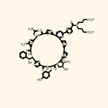 Cc1sc2nc1C(=O)N[C@@H]([C@H](O)c1ccccc1)c1nc(cs1)C(=O)N[C@@H](Cc1ccc(O)cc1)C(=O)N1C[C@H](O)[C@H](C)[C@H]1c1nc(cs1)-c1nc(cs1)-c1nc(-c3nc(C(=O)N(CCCC(=O)O)CCCC(=O)O)cs3)ccc1-c1nc(cs1)C(=O)N[C@H]2CC(N)=O